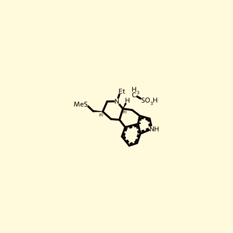 CCN1C[C@H](CSC)CC2c3cccc4[nH]cc(c34)C[C@H]21.CS(=O)(=O)O